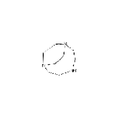 C1CN2CCN(CCN1)CC2